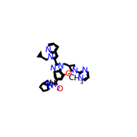 COc1cc(C(=O)N2CC3CCC2[C@@H]3N)cc2nc(-c3cc4cccnc4n3CC3CC3)n(CC3CN(c4ncccn4)C3)c12